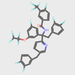 O=C(NC(Cc1ccc(F)c(F)c1)(c1cc(F)cc(OC(F)(F)C(F)F)c1)c1ccc(Cc2ccc(F)c(F)c2)cn1)c1ccc(F)c(C(F)(F)F)c1